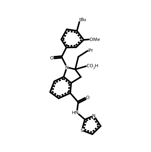 COc1cc(C(=O)N2c3cccc(C(=O)Nc4nccs4)c3CC2(CC(C)C)C(=O)O)ccc1C(C)(C)C